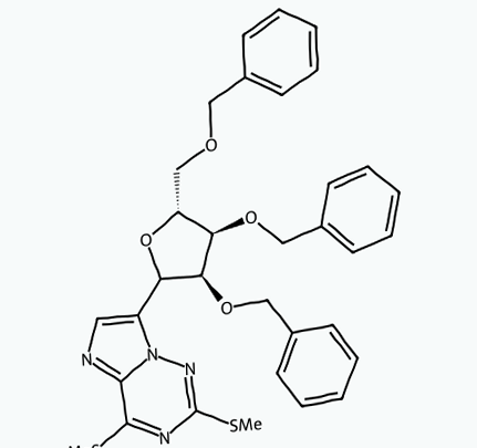 CSc1nc(SC)c2ncc(C3O[C@H](COCc4ccccc4)[C@@H](OCc4ccccc4)[C@H]3OCc3ccccc3)n2n1